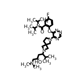 CC(C)C(C[C@@H](O)CN(C)C)N1CC2(CCN(c3ncnnc3Oc3ccc(F)cc3C(=O)N(C(C)C)C(C)C)C2)C1